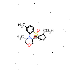 Cc1ccc(S(=O)(=O)[C@H]2CCC[C@@H]2C(=O)O)c(N2[C@@H](C)COC[C@@H]2C)c1